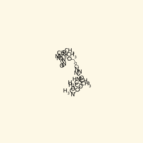 COc1cc(OC2C(C)(C)C(NC(=O)c3cnc(N4CCC5(CC4)CC(Cc4ccc(C6=N[C@@H](Cc7ncco7)c7nnc(C)n7-c7sc(C)c(C)c76)cc4)C5)nc3)C2(C)C)ccc1C#N